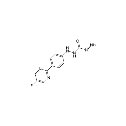 N=NC(=O)NNc1ccc(-c2ncc(F)cn2)cc1